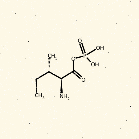 CC[C@H](C)[C@H](N)C(=O)OP(=O)(O)O